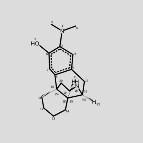 CN(C)c1cc2c(cc1O)[C@]13CCCC[C@@H]1[C@H](C2)NCC3